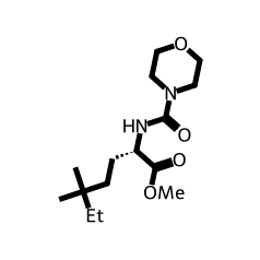 CCC(C)(C)CC[C@H](NC(=O)N1CCOCC1)C(=O)OC